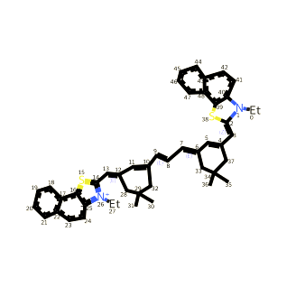 CCN1/C(=C/C2=CC(=C/C=C/C3=CC(=C/c4sc5c6ccccc6ccc5[n+]4CC)/CC(C)(C)C3)/CC(C)(C)C2)Sc2c1ccc1ccccc21